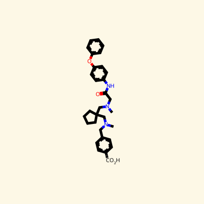 CN(CC(=O)Nc1ccc(Oc2ccccc2)cc1)CC1(CN(C)Cc2ccc(C(=O)O)cc2)CCCC1